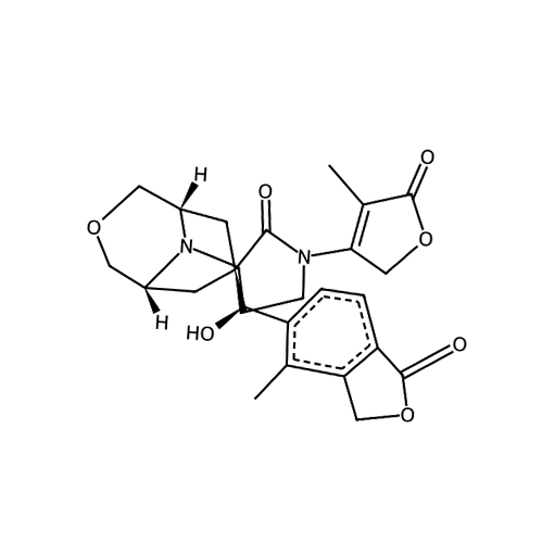 CC1=C(N2CC[C@@]3(C[C@H]4COC[C@@H](C3)N4C[C@H](O)c3ccc4c(c3C)COC4=O)C2=O)COC1=O